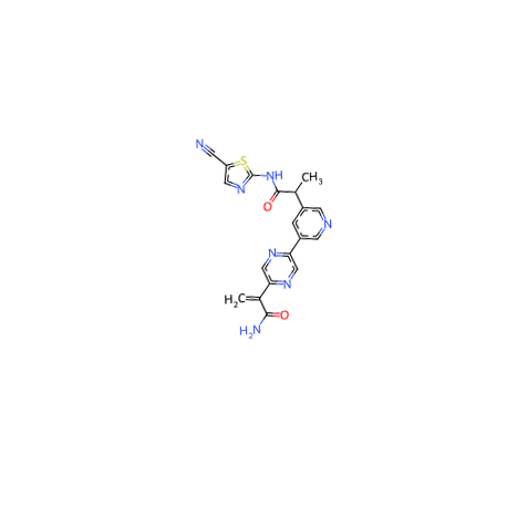 C=C(C(N)=O)c1cnc(-c2cncc(C(C)C(=O)Nc3ncc(C#N)s3)c2)cn1